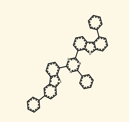 c1ccc(-c2ccc3sc4c(-c5nc(-c6ccccc6)nc(-c6cccc7c6oc6cccc(-c8ccccc8)c67)n5)cccc4c3c2)cc1